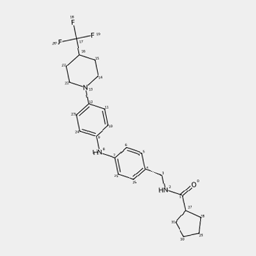 O=C(NCc1ccc(Nc2ccc(N3CCC(C(F)(F)F)CC3)cc2)cc1)C1CCCC1